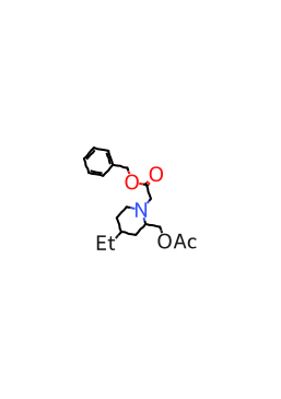 CCC1CCN(CC(=O)OCc2ccccc2)C(COC(C)=O)C1